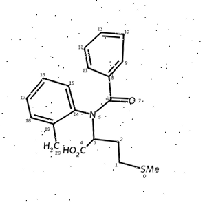 CSCCC(C(=O)O)N(C(=O)c1ccccc1)c1ccccc1C